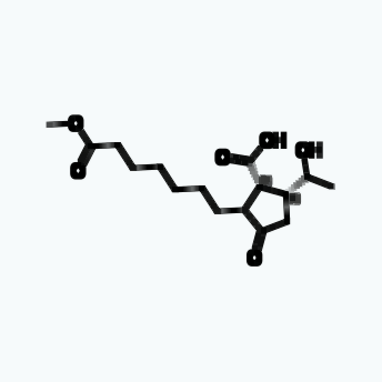 COC(=O)CCCCCCC1C(=O)C[C@@H](C(C)O)[C@H]1C(=O)O